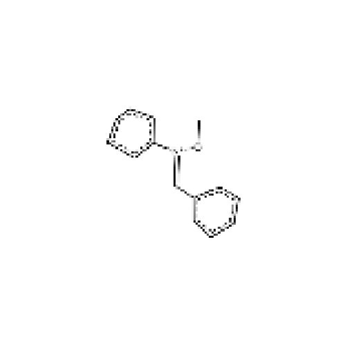 CO[N+](=Cc1ccccc1)c1ccccc1